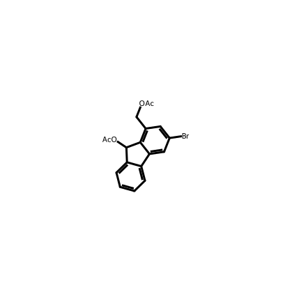 CC(=O)OCc1cc(Br)cc2c1C(OC(C)=O)c1ccccc1-2